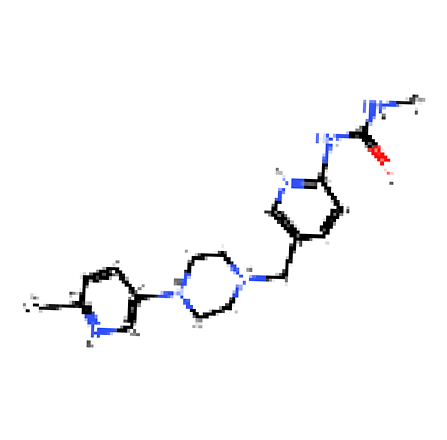 CCNC(=O)Nc1ccc(CN2CCN(c3ccc(C#N)nc3)CC2)cn1